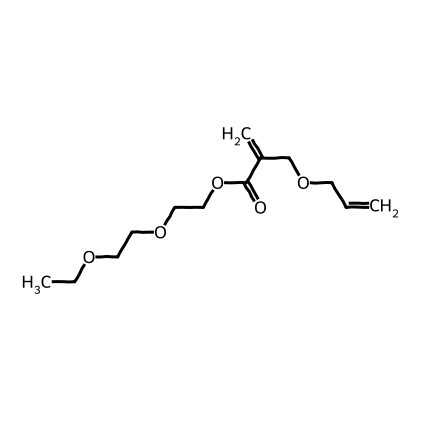 C=CCOCC(=C)C(=O)OCCOCCOCC